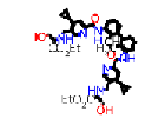 CCOC(=O)C(CO)NCc1cnc(C(=O)Nc2cccc(-c3cccc(NC(=O)c4cc(C5CC5)c(CNC(CO)C(=O)OCC)cn4)c3C)c2C)cc1C1CC1